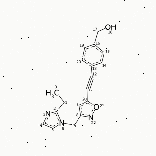 CCc1nccn1Cc1cc(C#Cc2ccc(CO)cc2)on1